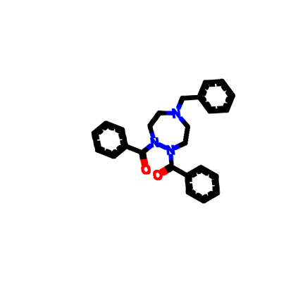 O=C(c1ccccc1)N1CCN(Cc2ccccc2)CCN1C(=O)c1ccccc1